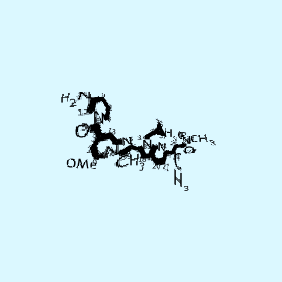 COc1cc(C(=O)N2CCC[C@@H](N)C2)cc2nc(-c3cc4ccc([C@H](C)CC(=O)N(C)C)nc4n3CC3CC3)c(C)n12